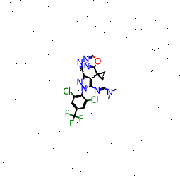 CN(C)C=Nc1c(C2(c3nnco3)CC2)c(C#N)nn1-c1c(Cl)cc(C(F)(F)F)cc1Cl